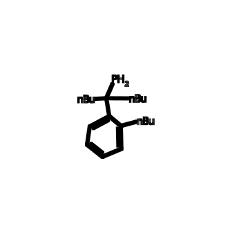 CCCCc1ccccc1C(P)(CCCC)CCCC